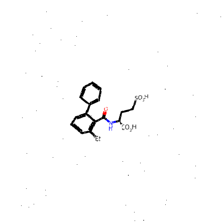 CCc1cccc(-c2ccccc2)c1C(=O)N[C@@H](CCS(=O)(=O)O)C(=O)O